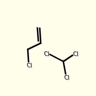 C=CCCl.Cl[C](Cl)Cl